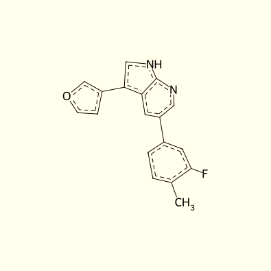 Cc1ccc(-c2cnc3[nH]cc(-c4ccoc4)c3c2)cc1F